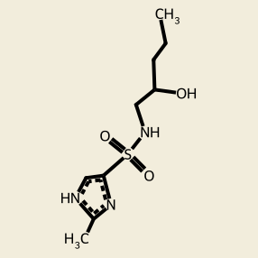 CCCC(O)CNS(=O)(=O)c1c[nH]c(C)n1